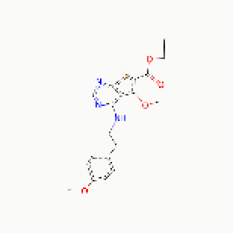 CCOC(=O)c1sc2ncnc(NCCc3ccc(OC)cc3)c2c1OC